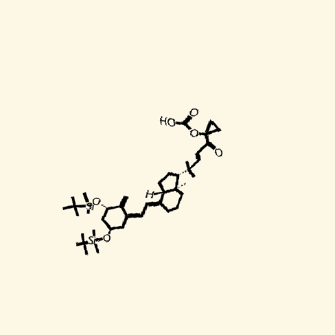 C=C1/C(=C\C=C2/CCC[C@]3(C)[C@@H](C(C)(C)/C=C/C(=O)C4(OC(=O)O)CC4)CC[C@@H]23)C[C@@H](O[Si](C)(C)C(C)(C)C)C[C@@H]1O[Si](C)(C)C(C)(C)C